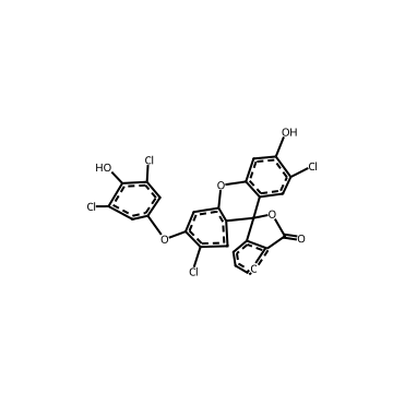 O=C1OC2(c3cc(Cl)c(O)cc3Oc3cc(Oc4cc(Cl)c(O)c(Cl)c4)c(Cl)cc32)c2ccccc21